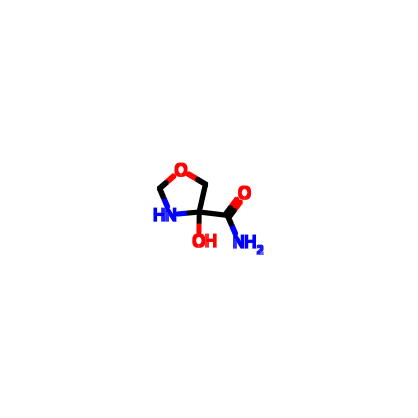 NC(=O)C1(O)COCN1